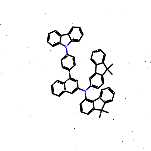 CC1(C)c2ccccc2-c2cc(N(c3cc(-c4ccc(-n5c6ccccc6c6ccccc65)cc4)c4ccccc4c3)c3cccc4c3-c3ccccc3C4(C)C)ccc21